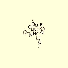 CCOC(=O)C1C(=O)C=C2N(CN(C)Cc3ccccc3)C(c3ccc(OCC(C)C)cc3)=C(C#N)C(Cc3ccccc3F)N21